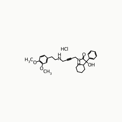 COc1ccc(CCNCC#CCNC(=O)C(O)(c2ccccc2)C2CCCCC2)cc1OC.Cl